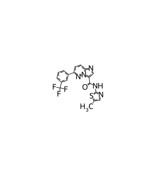 Cc1cnc(NC(=O)c2cnc3ccc(-c4cccc(C(F)(F)F)c4)nn23)s1